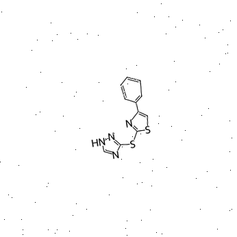 c1ccc(-c2csc(Sc3nc[nH]n3)n2)cc1